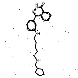 O=c1[nH]nc(-c2cccc(NCCCCCNCC3CCCC3)c2)c2ccccc12